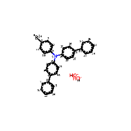 [B+2]c1ccc(N(c2ccc(-c3ccccc3)cc2)c2ccc(-c3ccccc3)cc2)cc1.[OH-].[OH-]